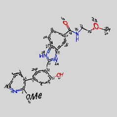 COc1ncccc1-c1ccc(O)c(-c2nc3cc(C(=O)NCCOC(C)C)ccc3[nH]2)c1